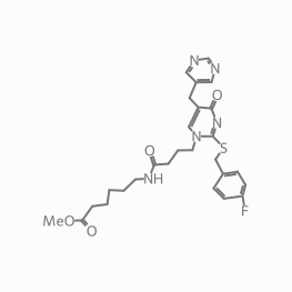 COC(=O)CCCCCNC(=O)CCCn1cc(Cc2cncnc2)c(=O)nc1SCc1ccc(F)cc1